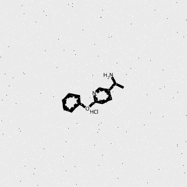 CC(N)c1ccc(Oc2ccccc2)nc1.Cl